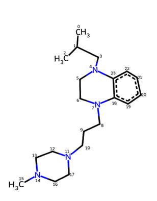 CC(C)CN1CCN(CCCN2CCN(C)CC2)c2ccccc21